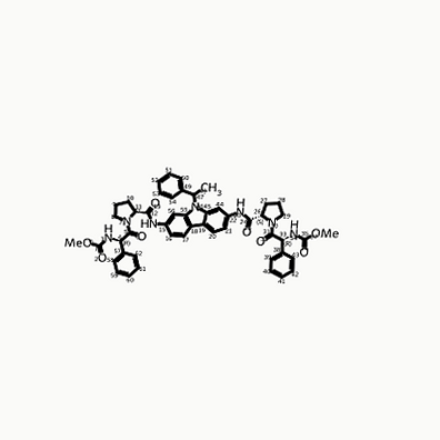 COC(=O)N[C@@H](C(=O)N1CCC[C@H]1C(=O)Nc1ccc2c3ccc(NC(=O)[C@@H]4CCCN4C(=O)[C@H](NC(=O)OC)c4ccccc4)cc3n(C(C)c3ccccc3)c2c1)c1ccccc1